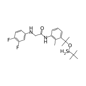 Cc1c(NC(=O)CNc2ccc(F)c(F)c2)cccc1C(C)(C)O[SiH2]C(C)(C)C